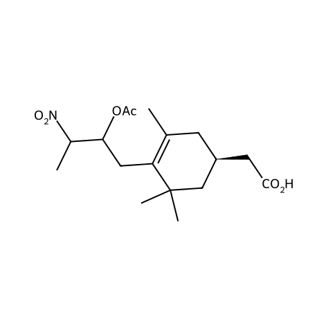 CC(=O)OC(CC1=C(C)C[C@@H](CC(=O)O)CC1(C)C)C(C)[N+](=O)[O-]